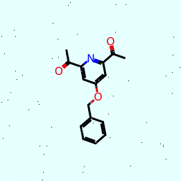 CC(=O)c1cc(OCc2ccccc2)cc(C(C)=O)n1